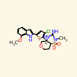 COc1cccc2cc(-c3cc(Cl)c([C@]45COCCC4S(=O)(=O)N(C)C(=N)N5)s3)[nH]c12